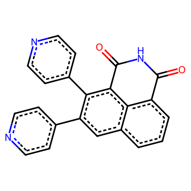 O=C1NC(=O)c2c(-c3ccncc3)c(-c3ccncc3)cc3cccc1c23